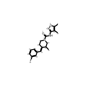 Cc1onc(NC(=O)N2CC/C(=C\c3cccc(F)c3)C(C)C2)c1C